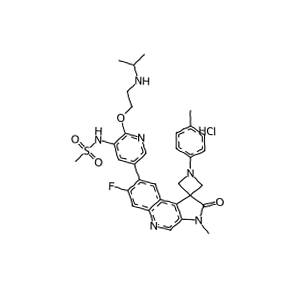 Cc1ccc(N2CC3(C2)C(=O)N(C)c2cnc4cc(F)c(-c5cnc(OCCNC(C)C)c(NS(C)(=O)=O)c5)cc4c23)cc1.Cl